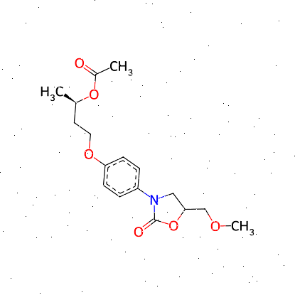 COCC1CN(c2ccc(OCC[C@@H](C)OC(C)=O)cc2)C(=O)O1